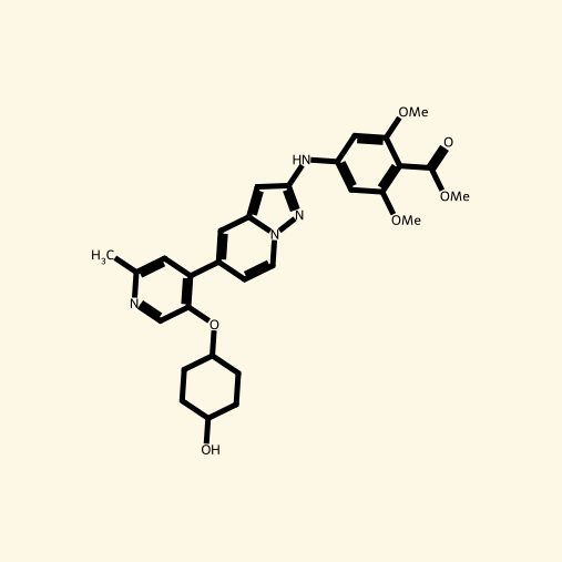 COC(=O)c1c(OC)cc(Nc2cc3cc(-c4cc(C)ncc4OC4CCC(O)CC4)ccn3n2)cc1OC